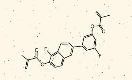 C=C(C)C(=O)Oc1cc(F)cc(-c2ccc3c(F)c(OC(=O)C(=C)C)ccc3c2)c1